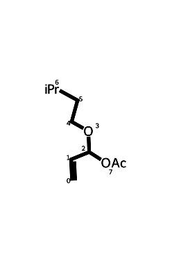 C=CC(OCCC(C)C)OC(C)=O